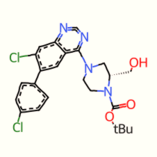 CC(C)(C)OC(=O)N1CCN(c2ncnc3cc(Cl)c(-c4ccc(Cl)cc4)cc23)C[C@@H]1CO